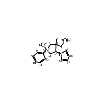 CC1(CO)C[N+]([O-])(c2ccccc2)CC1n1cccc1